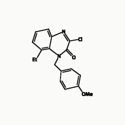 CCc1cccc2nc(Cl)c(=O)n(Cc3ccc(OC)cc3)c12